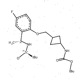 C[C@@H](N[S@+]([O-])C(C)(C)C)c1cc(F)ccc1OCC1CC(NC(=O)OC(C)(C)C)C1